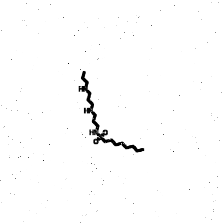 CCCCCCCCS(=O)(=O)NCCCNCCCNCCC